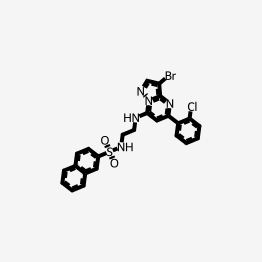 O=S(=O)(NCCNc1cc(-c2ccccc2Cl)nc2c(Br)cnn12)c1ccc2ccccc2c1